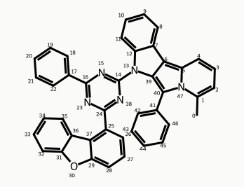 Cc1cccc2c3c4ccccc4n(-c4nc(-c5ccccc5)nc(-c5cccc6oc7ccccc7c56)n4)c3c(-c3ccccc3)n12